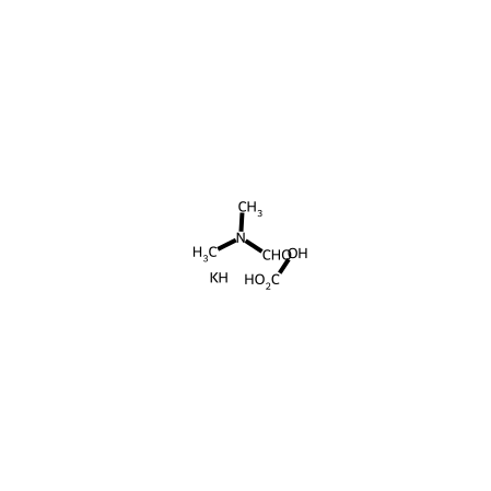 CN(C)C=O.O=C(O)O.[KH]